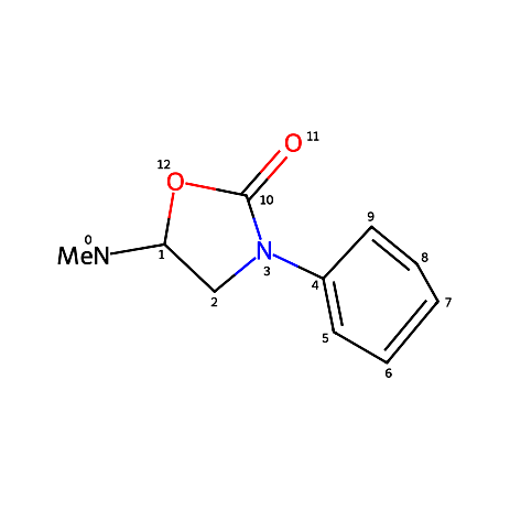 CNC1CN(c2ccccc2)C(=O)O1